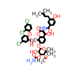 CO[C@@H]1[C@@H](OC(N)=O)[C@@H](O)[C@H](Oc2ccc3c(O)c(NC(=O)c4ccc(O)c(CC=C(C)C)c4)c(=O)oc3c2C)OC1(C)C.Oc1cc(Cl)ccc1Oc1ccc(Cl)cc1Cl